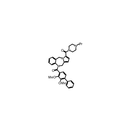 COc1c(C(=O)N2Cc3ccc(C(=O)N4CCN(C(C)C)CC4)n3Cc3ccccc32)ccc(-c2ccccc2)c1OC